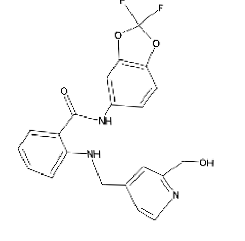 O=C(Nc1ccc2c(c1)OC(F)(F)O2)c1ccccc1NCc1ccnc(CO)c1